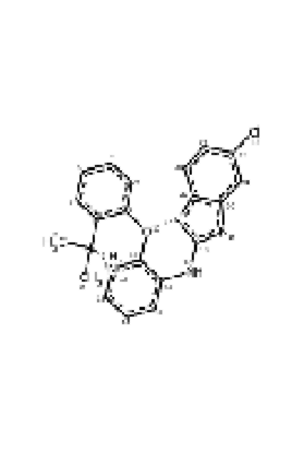 CC(C)(C)c1ccccc1Oc1ncccc1Nc1nc2cc(Cl)ccc2s1